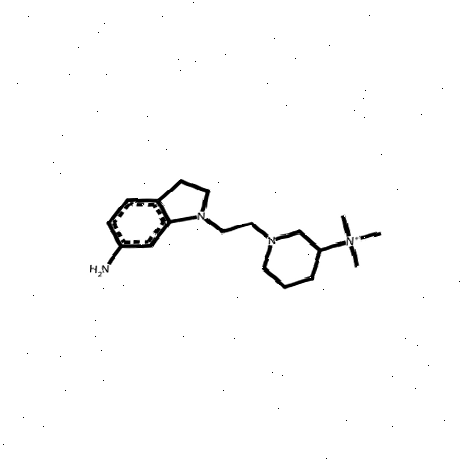 C[N+](C)(C)C1CCCN(CCN2CCc3ccc(N)cc32)C1